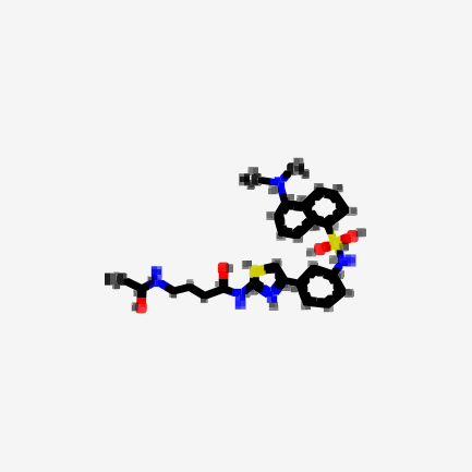 CC(=O)NCCCC(=O)Nc1nc(-c2cccc(NS(=O)(=O)c3cccc4c(N(C)C)cccc34)c2)cs1